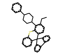 CCc1ccc2c(c1C1CCC(c3ccccc3)CC1)Sc1ccccc1C21c2ccccc2-c2ccccc21